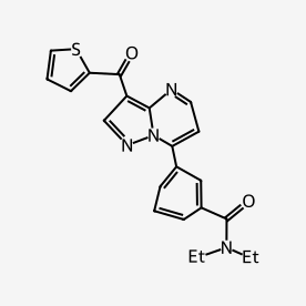 CCN(CC)C(=O)c1cccc(-c2ccnc3c(C(=O)c4cccs4)cnn23)c1